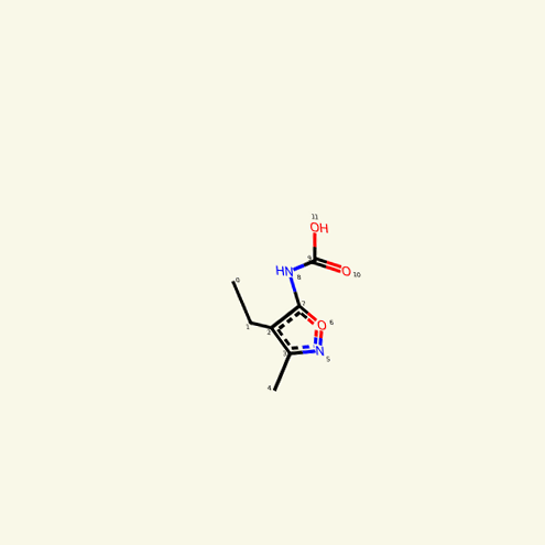 CCc1c(C)noc1NC(=O)O